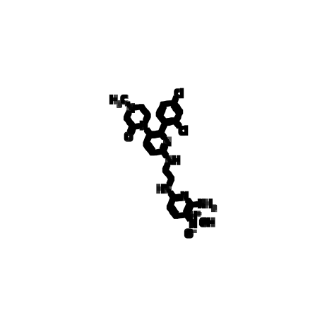 CN1CCN(c2ccc(NCCNc3ccc([NH+]([O-])O)c(N)n3)nc2-c2ccc(Cl)cc2Cl)C(=O)C1